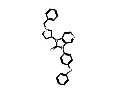 O=c1n(-c2ccc(Oc3ccccc3)cc2)c2cnccc2n1C1CCN(Cc2ccccc2)C1